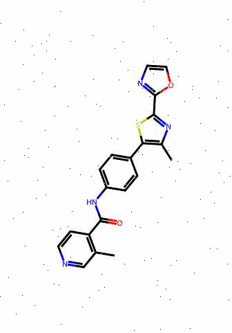 Cc1cnccc1C(=O)Nc1ccc(-c2sc(-c3ncco3)nc2C)cc1